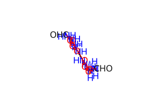 Cc1ccc(S(=O)(=O)Nc2ccc(NNC=O)cc2)c(C)c1NC(=O)C[n+]1cccc(CONCCCCCCCCNC(=O)c2ccc[n+](CC(=O)Nc3c(C)ccc(S(=O)(=O)Nc4ccc(NNC=O)cc4)c3C)c2)c1